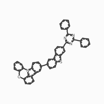 c1ccc(-c2nc(-c3ccccc3)nc(-c3ccc4c(c3)sc3ccc(-c5ccc6c(c5)c5cccc7c5n6-c5ccccc5O7)cc34)n2)cc1